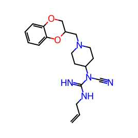 C=CCNC(=N)N(C#N)C1CCN(CC2COc3ccccc3O2)CC1